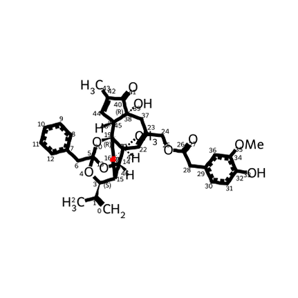 C=C(C)[C@H]1OC2(Cc3ccccc3)O[C@H]3C1C[C@@H](C)[C@@]1(O2)[C@H]3C=C(COC(=O)Cc2ccc(O)c(OC)c2)C[C@]2(O)C(=O)C(C)=C[C@@H]12